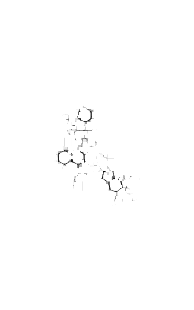 COc1cc2cc(C(=O)N3CC(CCl)c4c3cc(NC(=O)C(C)(C)c3ccccc3[N+](=O)[O-])c3ccccc43)[nH]c2c(OC)c1OC